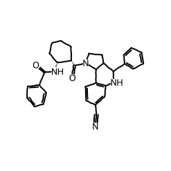 N#Cc1ccc2c(c1)NC(c1ccccc1)C1CCN(C(=O)[C@H]3CCCC[C@H]3NC(=O)c3ccccc3)C21